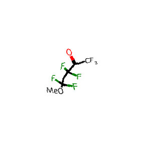 COC(F)(F)C(F)(F)C(=O)C(F)(F)F